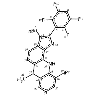 CCCCn1c(-c2c(F)c(F)cc(F)c2F)nc2c3c(ccc21)C(C)c1cccc(C(C)C)c1N3